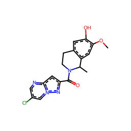 COc1cc2c(cc1O)CCN(C(=O)c1cc3ncc(Cl)cn3n1)C2C